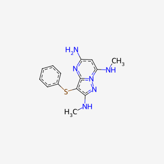 CNc1nn2c(NC)cc(N)nc2c1Sc1ccccc1